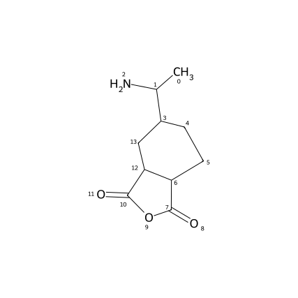 CC(N)C1CCC2C(=O)OC(=O)C2C1